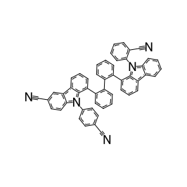 N#Cc1ccc(-n2c3ccc(C#N)cc3c3cccc(-c4ccccc4-c4ccccc4-c4cccc5c6ccccc6n(-c6ccccc6C#N)c45)c32)cc1